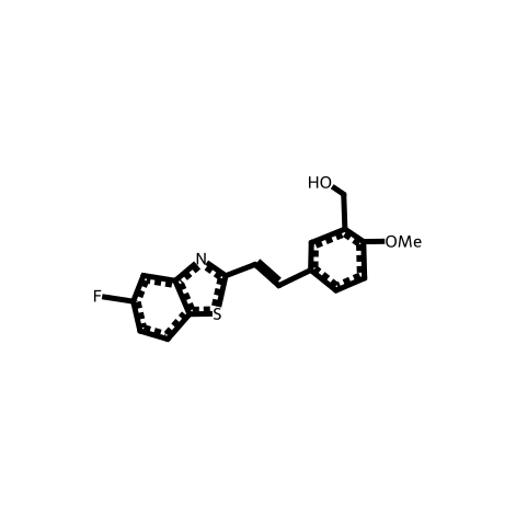 COc1ccc(C=Cc2nc3cc(F)ccc3s2)cc1CO